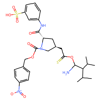 CC(C)C(C(C)C)C(N)OC(=S)C[C@@H]1C[C@@H](C(=O)Nc2cccc(S(=O)(=O)O)c2)N(C(=O)OCc2ccc([N+](=O)[O-])cc2)C1